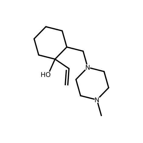 C=CC1(O)CCCCC1CN1CCN(C)CC1